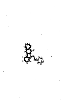 Cc1c2ccncc2cc2c3ccccc3n(CCN3CCOCC3)c12